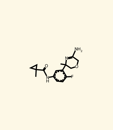 CC1(C(=O)Nc2ccc(F)c(C3(C)COCC(N)=N3)c2)CC1